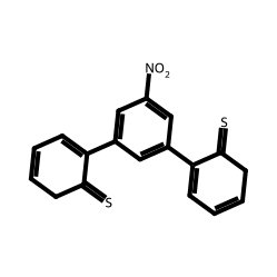 O=[N+]([O-])c1cc(C2=CC=CCC2=S)cc(C2=CC=CCC2=S)c1